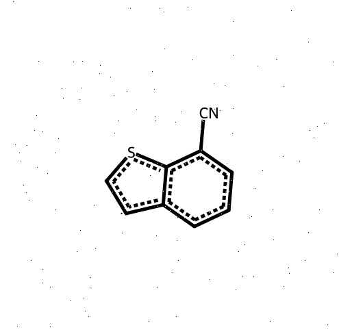 N#Cc1cccc2[c]csc12